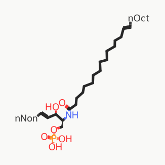 CCCCCCCC/C=C/CCCCCCCCCCCCCC(=O)N[C@@H](COP(=O)(O)O)[C@H](O)/C=C/CCCCCCCCC